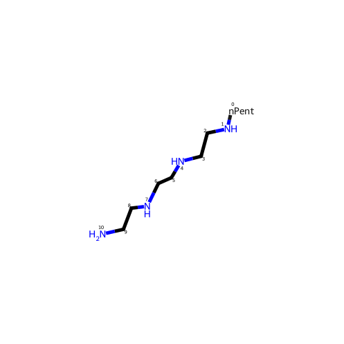 CCCCCNCCNCCNCCN